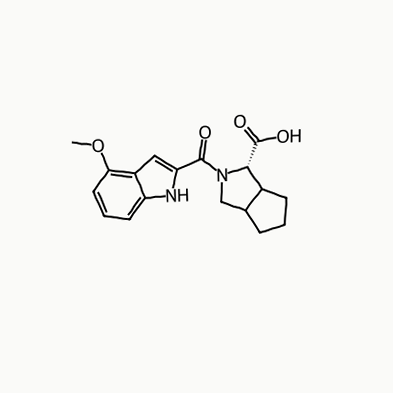 COc1cccc2[nH]c(C(=O)N3CC4CCCC4[C@H]3C(=O)O)cc12